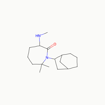 CNC1CCCC(C)(C)N(C2CC3CCCC2C3)C1=O